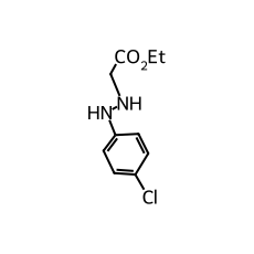 CCOC(=O)CNNc1ccc(Cl)cc1